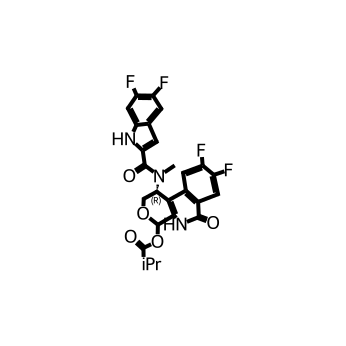 CC(C)C(=O)OC1OC[C@H](N(C)C(=O)c2cc3cc(F)c(F)cc3[nH]2)c2c1[nH]c(=O)c1cc(F)c(F)cc21